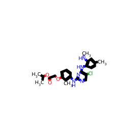 CNc1cc(C)ccc1Nc1nc(Nc2cccc(OCC(=O)OC(C)C)c2C)ncc1Cl